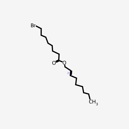 CCCCCC/C=C/COC(=O)CCCCCCCBr